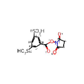 O=C(ON1C(=O)CCC1=O)c1cc(S(=O)(=O)O)cc(S(=O)(=O)O)c1